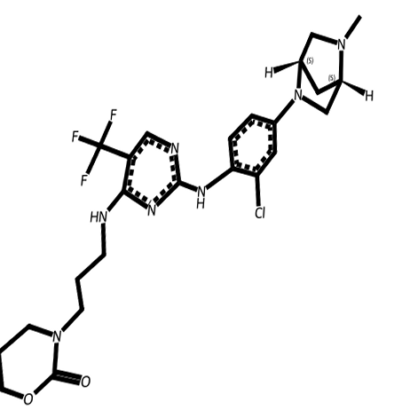 CN1C[C@@H]2C[C@H]1CN2c1ccc(Nc2ncc(C(F)(F)F)c(NCCCN3CCCOC3=O)n2)c(Cl)c1